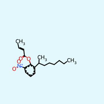 CC=CC(=O)Oc1c(C(C)CCCCCC)cccc1[N+](=O)[O-]